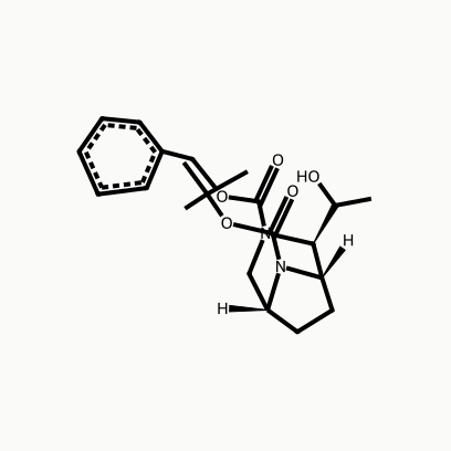 CC(O)[C@H]1[C@@H]2CC[C@H](CN1C(=O)OCc1ccccc1)N2C(=O)OC(C)(C)C